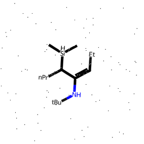 CC/C=C(/NC(C)(C)C)C(CCC)[SiH](C)C